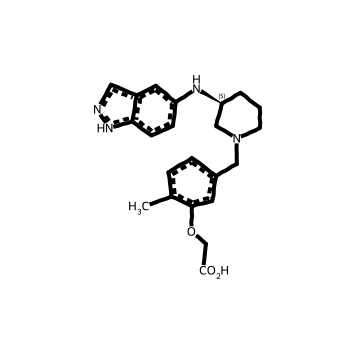 Cc1ccc(CN2CCC[C@H](Nc3ccc4[nH]ncc4c3)C2)cc1OCC(=O)O